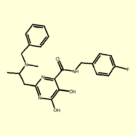 CC(Cc1nc(O)c(O)c(C(=O)NCc2ccc(F)cc2)n1)N(C)Cc1ccccc1